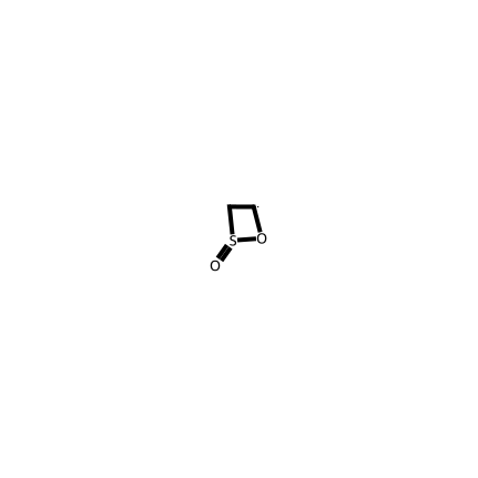 O=S1C[CH]O1